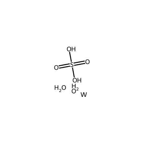 O.O.O=S(=O)(O)O.[W]